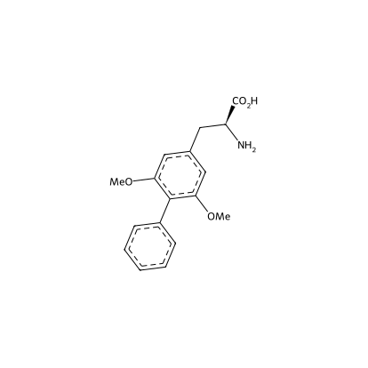 COc1cc(C[C@H](N)C(=O)O)cc(OC)c1-c1ccccc1